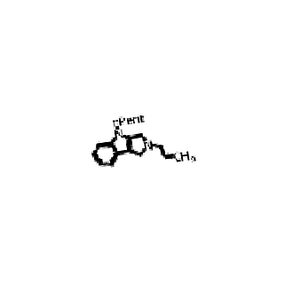 C=CCN1Cc2c(n(CCCCC)c3ccccc23)C1